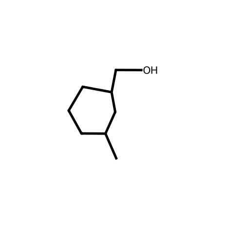 CC1CCCC(CO)C1